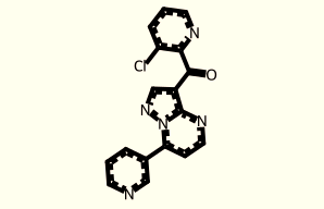 O=C(c1ncccc1Cl)c1cnn2c(-c3cccnc3)ccnc12